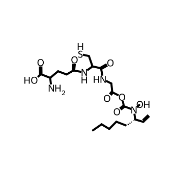 C=C[C@H](CCCCC)N(O)C(=O)OC(=O)CNC(=O)C(CS)NC(=O)CCC(N)C(=O)O